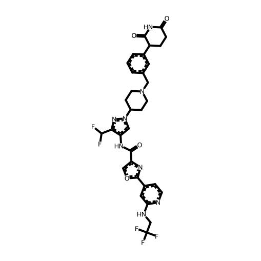 O=C1CCC(c2cccc(CN3CCC(n4cc(NC(=O)c5coc(-c6ccnc(NCC(F)(F)F)c6)n5)c(C(F)F)n4)CC3)c2)C(=O)N1